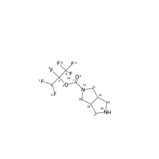 O=C(OC(F)(C(F)F)C(F)(F)F)N1CC2CNCC2C1